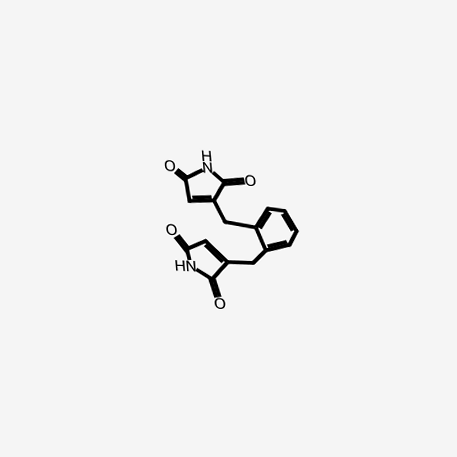 O=C1C=C(Cc2ccccc2CC2=CC(=O)NC2=O)C(=O)N1